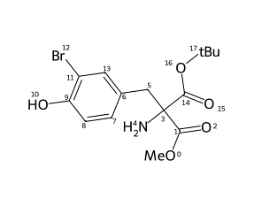 COC(=O)C(N)(Cc1ccc(O)c(Br)c1)C(=O)OC(C)(C)C